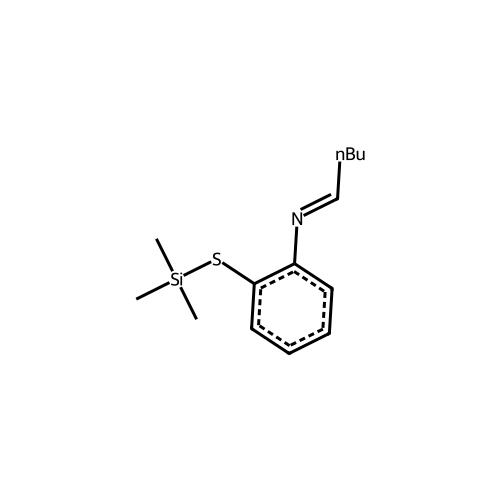 CCCCC=Nc1ccccc1S[Si](C)(C)C